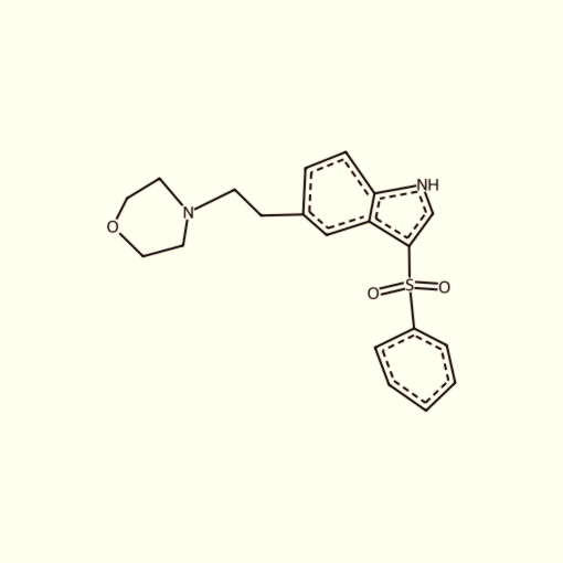 O=S(=O)(c1ccccc1)c1c[nH]c2ccc(CCN3CCOCC3)cc12